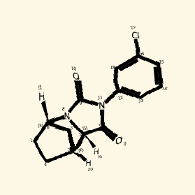 O=C1[C@@H]2[C@@H]3CC[C@@H](C3)N2C(=O)N1c1cccc(Cl)c1